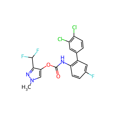 Cn1cc(OC(=O)Nc2ccc(F)cc2-c2ccc(Cl)c(Cl)c2)c(C(F)F)n1